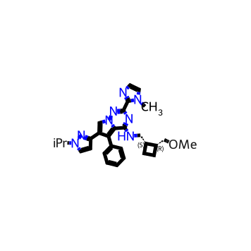 COC[C@@H]1CC[C@@H]1CNc1nc(-c2nccn2C)nn2cc(-c3ccn(C(C)C)n3)c(-c3ccccc3)c12